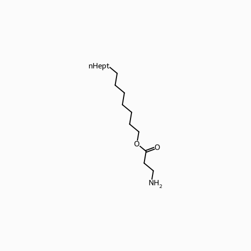 CCCCCCCCCCCCCCOC(=O)CCN